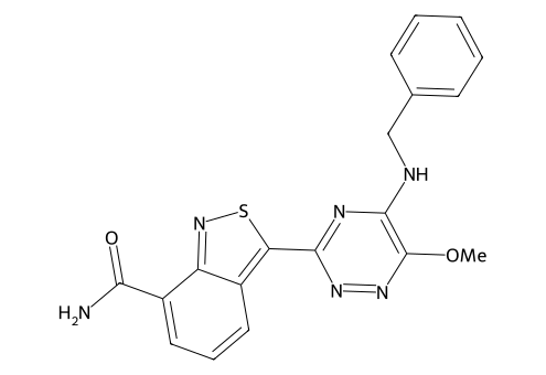 COc1nnc(-c2snc3c(C(N)=O)cccc23)nc1NCc1ccccc1